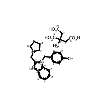 Clc1ccc(Cn2c(CN3CCCC3)nc3ccccc32)cc1.O=C(O)CC(O)(CC(=O)O)C(=O)O